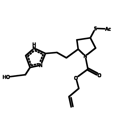 C=CCOC(=O)N1CC(SC(C)=O)CC1CCc1nc(CO)c[nH]1